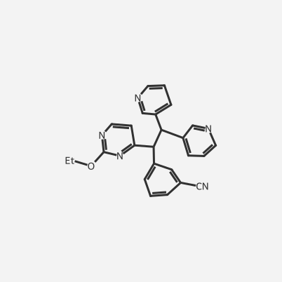 CCOc1nccc(C(c2cccc(C#N)c2)C(c2cccnc2)c2cccnc2)n1